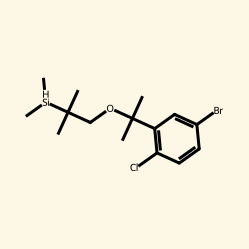 C[SiH](C)C(C)(C)COC(C)(C)c1cc(Br)ccc1Cl